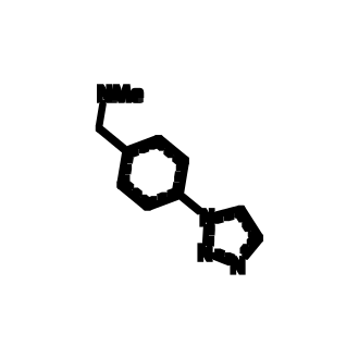 CNCc1ccc(-n2ccnn2)cc1